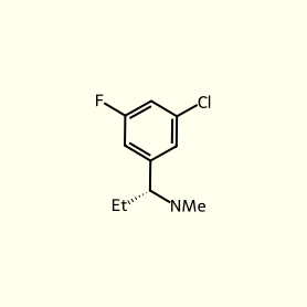 CC[C@@H](NC)c1cc(F)cc(Cl)c1